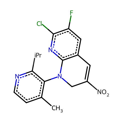 Cc1ccnc(C(C)C)c1N1CC([N+](=O)[O-])=Cc2cc(F)c(Cl)nc21